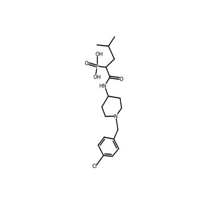 CC(C)CC(C(=O)NC1CCN(Cc2ccc(Cl)cc2)CC1)P(=O)(O)O